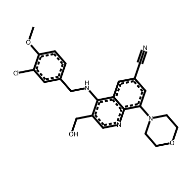 COc1ccc(CNc2c(CO)cnc3c(N4CCOCC4)cc(C#N)cc23)cc1Cl